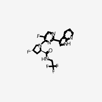 O=C(NCC(F)(F)F)[C@H]1C[C@H](F)CN1c1nc(-c2c[nH]c3ncccc23)ncc1F